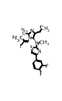 CCc1nc(C)n(/C=C(\C)I)c1N(C)c1nc(-c2ccc(F)c(F)c2)cs1